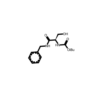 CC(C)COC(=O)N[C@H](CO)C(=O)NCc1ccccc1